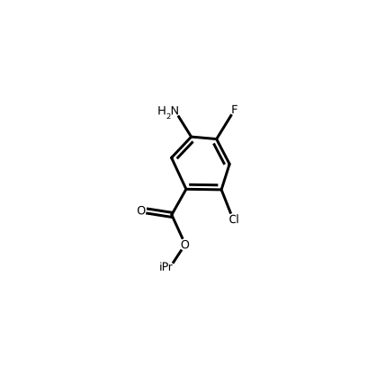 CC(C)OC(=O)c1cc(N)c(F)cc1Cl